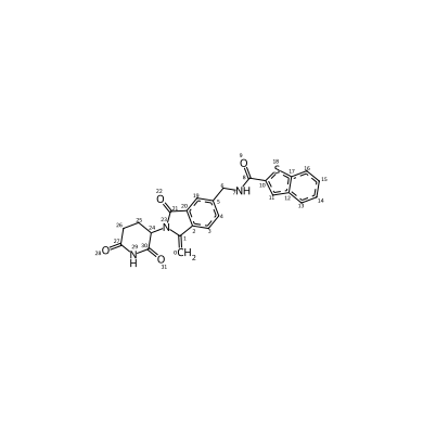 C=C1c2ccc(CNC(=O)c3cc4ccccc4s3)cc2C(=O)N1C1CCC(=O)NC1=O